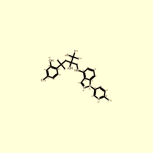 CC(C)(CC(O)(CNc1cccc2c1cnn2-c1ccc(F)nc1)C(F)(F)F)c1ccc(Cl)cc1O